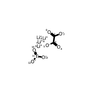 O=C([O-])C(=O)[O-].[Li+].[Li+].[Li+].[Li+].[O]=[Ti]([O-])[O-]